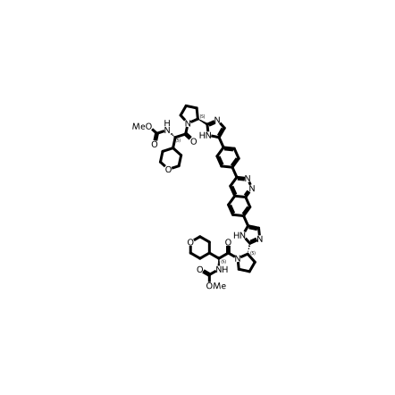 COC(=O)N[C@H](C(=O)N1CCC[C@H]1c1ncc(-c2ccc(-c3cc4ccc(-c5cnc([C@@H]6CCCN6C(=O)[C@@H](NC(=O)OC)C6CCOCC6)[nH]5)cc4nn3)cc2)[nH]1)C1CCOCC1